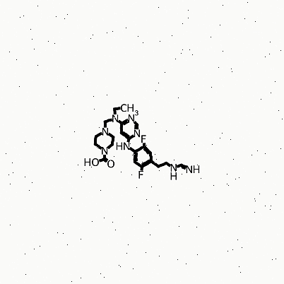 CCN(CN1CCN(C(=O)O)CC1)c1cc(Nc2cc(F)c(CCNC=N)cc2F)ncn1